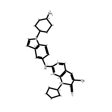 N#Cc1cc2cnc(Nc3ccc4c(ccn4C4CCC(N)CC4)c3)nc2n(C2CCCC2)c1=O